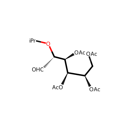 CC(=O)OC[C@@H](OC(C)=O)[C@@H](OC(C)=O)[C@H](OC(C)=O)[C@H](C=O)OC(C)C